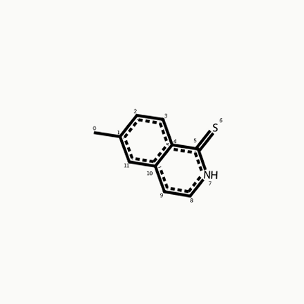 Cc1ccc2c(=S)[nH]ccc2c1